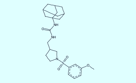 COc1cccc(S(=O)(=O)N2CCC(CNC(=O)NC34CC5CC(CC(C5)C3)C4)C2)c1